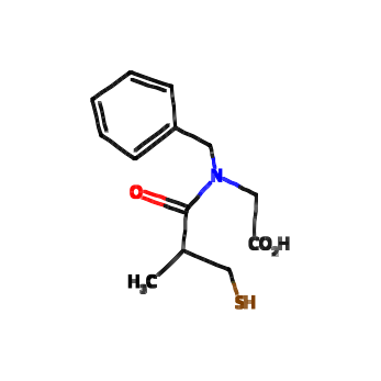 CC(CS)C(=O)N(CC(=O)O)Cc1ccccc1